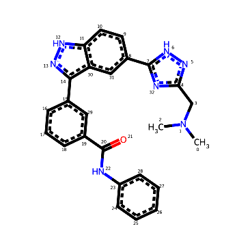 CN(C)Cc1n[nH]c(-c2ccc3[nH]nc(-c4cccc(C(=O)Nc5ccccc5)c4)c3c2)n1